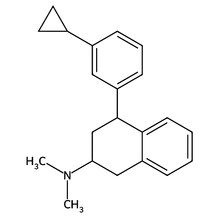 CN(C)C1Cc2ccccc2C(c2cccc(C3CC3)c2)C1